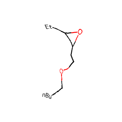 CCCCCOCC1OC1CC